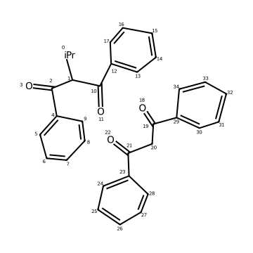 CC(C)C(C(=O)c1ccccc1)C(=O)c1ccccc1.O=C(CC(=O)c1ccccc1)c1ccccc1